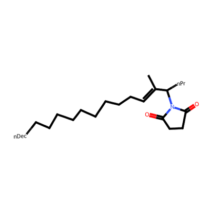 CCCCCCCCCCCCCCCCCCCC=C(C)C(CCC)N1C(=O)CCC1=O